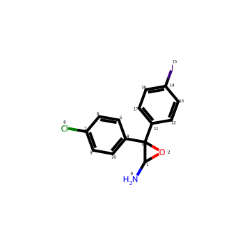 NC1OC1(c1ccc(Cl)cc1)c1ccc(I)cc1